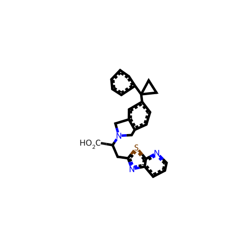 O=C(O)C(Cc1nc2cccnc2s1)N1Cc2ccc(C3(c4ccccc4)CC3)cc2C1